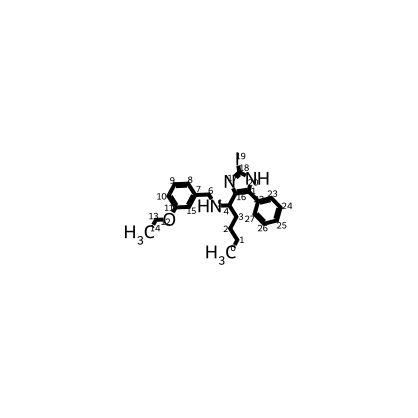 CCCCC(NCc1cccc(OCC)c1)c1nc(I)[nH]c1-c1ccccc1